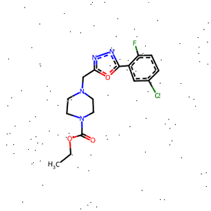 CCOC(=O)N1CCN(Cc2nnc(-c3cc(Cl)ccc3F)o2)CC1